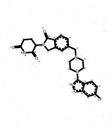 O=C1CCC(N2Cc3cc(CN4CCN(c5nsc6cc(F)ccc56)CC4)ccc3C2=O)C(=O)N1